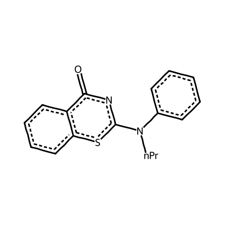 CCCN(c1ccccc1)c1nc(=O)c2ccccc2s1